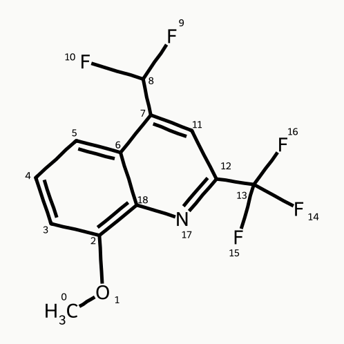 COc1cccc2c(C(F)F)cc(C(F)(F)F)nc12